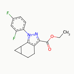 CCOC(=O)c1nn(-c2ccc(F)cc2F)c2c1CCC1CC21